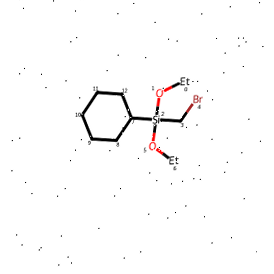 CCO[Si](CBr)(OCC)C1CCCCC1